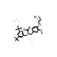 COc1cc(CN(Cc2cc(C(C)(C)C)cc(C(C)(C)C)c2)C(N)=S)ccc1OCCN